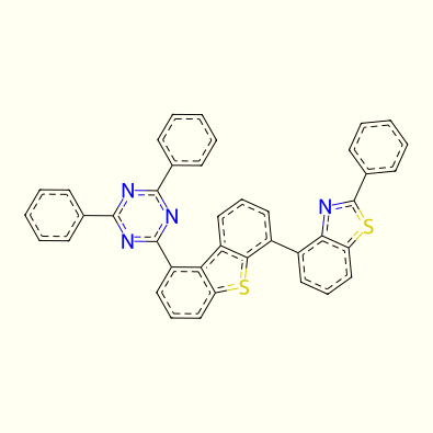 c1ccc(-c2nc(-c3ccccc3)nc(-c3cccc4sc5c(-c6cccc7sc(-c8ccccc8)nc67)cccc5c34)n2)cc1